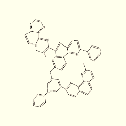 Cc1ccc2ccc3ccc(-c4cc(Cc5cnc6c(c5)c(-c5nc7c(ccc8cccnc87)cc5C)cc5ccc(-c7ccccc7)nc56)cc(-c5ccccc5)c4)nc3c2n1